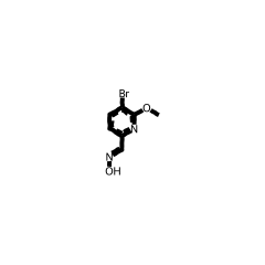 COc1nc(/C=N/O)ccc1Br